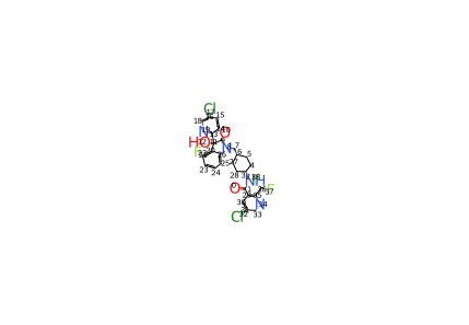 O=C(N[C@H]1CC[C@H](CN2C(=O)C(O)(c3ccc(Cl)cn3)c3c(F)cccc32)CC1)c1cc(Cl)cnc1C(F)F